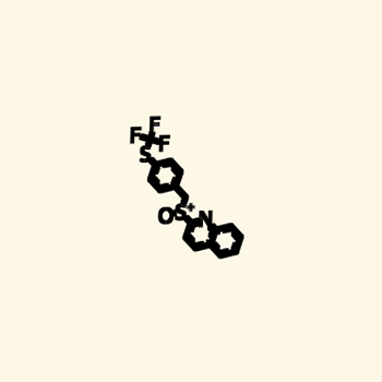 [O-][S+](Cc1ccc(SC(F)(F)F)cc1)c1ccc2ccccc2n1